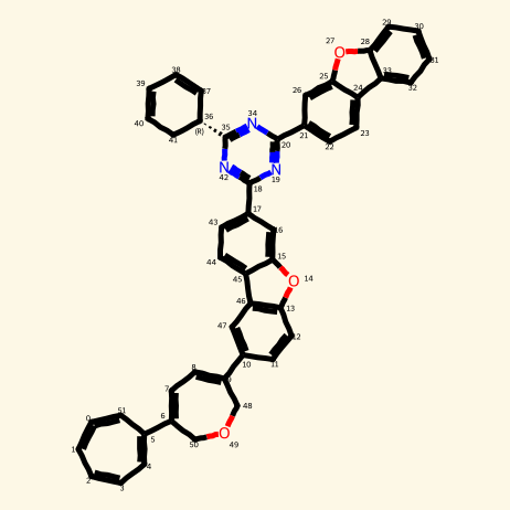 C1=CC=CC=C(C2=CC=C(c3ccc4oc5cc(-c6nc(-c7ccc8c(c7)oc7ccccc78)nc([C@H]7C=CC=CC7)n6)ccc5c4c3)COC2)C=1